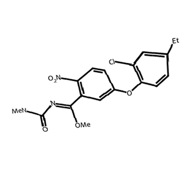 CCc1ccc(Oc2ccc([N+](=O)[O-])c(C(=NC(=O)NC)OC)c2)c(Cl)c1